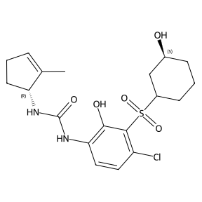 CC1=CCC[C@H]1NC(=O)Nc1ccc(Cl)c(S(=O)(=O)C2CCC[C@H](O)C2)c1O